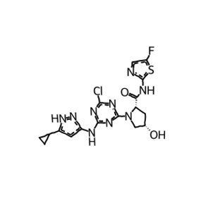 O=C(Nc1ncc(F)s1)[C@@H]1C[C@H](O)CN1c1nc(Cl)nc(Nc2cc(C3CC3)[nH]n2)n1